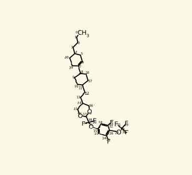 CCCCC1CC=C(C2CCC(CCC3COC(C(F)(F)Oc4cc(F)c(OC(F)(F)F)c(F)c4)OC3)CC2)CC1